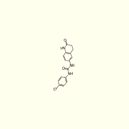 O=C1CCc2cc(NC(=O)Nc3ccc(Cl)cc3)ccc2N1